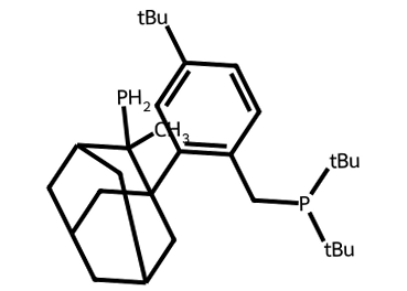 CC(C)(C)c1ccc(CP(C(C)(C)C)C(C)(C)C)c(C23CC4CC(CC(C4)C2(C)P)C3)c1